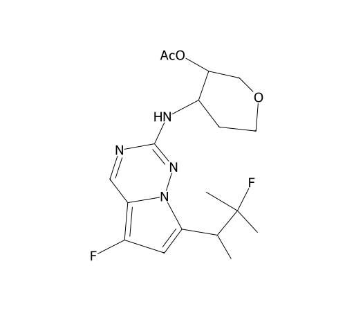 CC(=O)OC1COCCC1Nc1ncc2c(F)cc(C(C)C(C)(C)F)n2n1